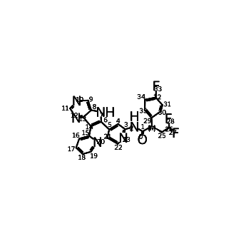 O=C(Nc1cc(-c2[nH]c3cncnc3c2-c2ccccn2)ccn1)[C@H](CC(F)F)c1ccc(F)cc1